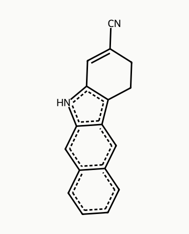 N#CC1=Cc2[nH]c3cc4ccccc4cc3c2CC1